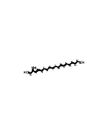 NC(C=CCCCCCCCCCCCCCCO)CO